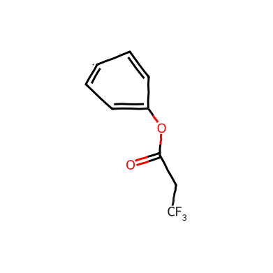 O=C(CC(F)(F)F)Oc1cc[c]cc1